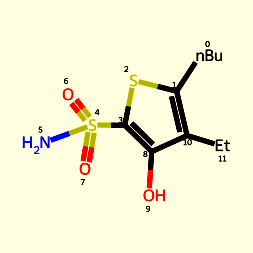 CCCCc1sc(S(N)(=O)=O)c(O)c1CC